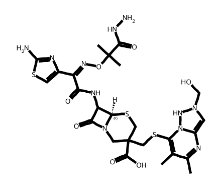 CC1=NC2=CN(CO)NN2C(SCC2(C(=O)O)CS[C@@H]3C(NC(=O)C(=NOC(C)(C)C(=O)NN)c4csc(N)n4)C(=O)N3C2)=C1C